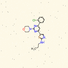 CCCNc1ncc(-c2cc(-c3ccccc3Cl)nc(N3CCOCC3)n2)s1